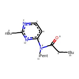 CCCCc1nccc(N(C(=O)CC(C)(C)C)C(C)CCC)n1